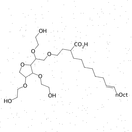 CCCCCCCCC=CCCCCCCC(CCOCC(OCCO)C1OCC(OCCO)C1OCCO)C(=O)O